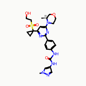 C[C@H]1COCCN1c1cc(C2(S(=O)(=O)CCO)CC2)nc(-c2ccc(NC(=O)Nc3cnn(C)c3)cc2)n1